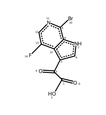 O=C(O)C(=O)c1c[nH]c2c(Br)ncc(F)c12